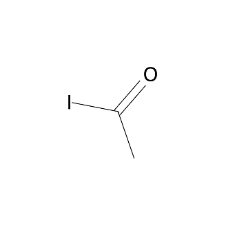 CC(=O)I